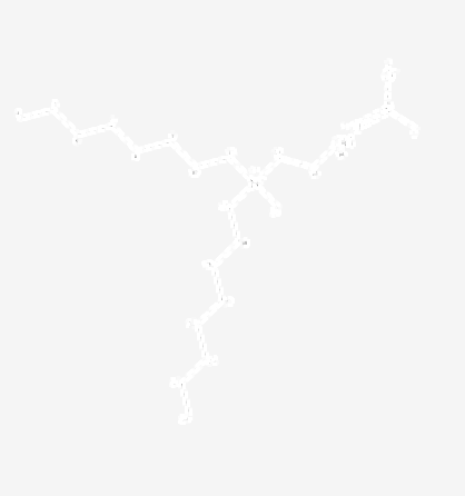 CC(=O)[O-].CCCCCCCC[N+](C)(CCO)CCCCCCCC